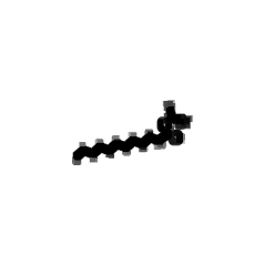 CCCCCCCCCCCC(=O)OC(C)Br